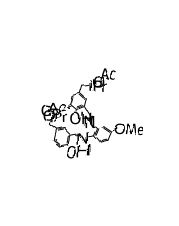 CC(=O)[O-].CC(=O)[O-].COc1ccc(N=Cc2cc(CC(C)C)ccc2O)c(N=Cc2cc(CC(C)C)ccc2O)c1.[Co+2]